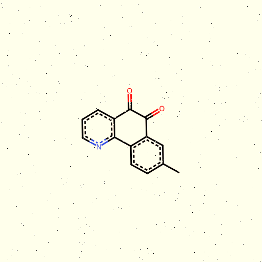 Cc1ccc2c(c1)C(=O)C(=O)c1cccnc1-2